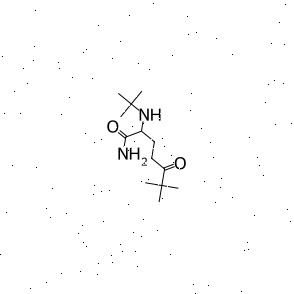 CC(C)(C)NC(CCC(=O)C(C)(C)C)C(N)=O